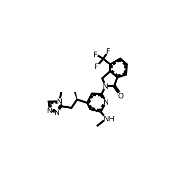 CNc1cc([C@H](C)Cc2nncn2C)cc(N2Cc3c(cccc3C(F)(F)F)C2=O)n1